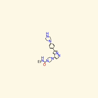 CCNC(=O)N1CCN(c2ccnn3cc(-c4ccc(N5CCNCC5)cc4)cc23)CC1